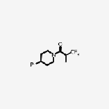 CC(C)C1CCN(C(=O)[C@H](C)C(F)(F)F)CC1